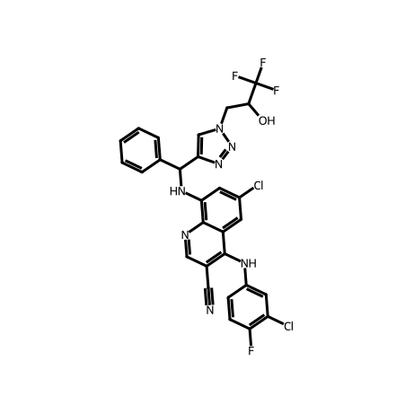 N#Cc1cnc2c(NC(c3ccccc3)c3cn(CC(O)C(F)(F)F)nn3)cc(Cl)cc2c1Nc1ccc(F)c(Cl)c1